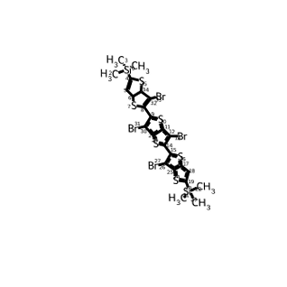 C[Si](C)(C)C1=CC2SC(c3sc4c(Br)c(-c5sc6cc([Si](C)(C)C)sc6c5Br)sc4c3Br)=C(Br)C2S1